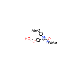 COc1ccc(-n2nc(C(=O)N(C)OC)cc2-c2ccc(OCCO)cc2)cc1